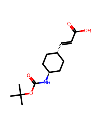 CC(C)(C)OC(=O)N[C@H]1CC[C@H](/C=C/C(=O)O)CC1